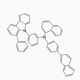 c1ccc(-c2cccc3c4ccccc4n(-c4cccc(N(c5ccc(-c6ccc7ccccc7c6)cc5)c5cccc6ccccc56)c4)c23)cc1